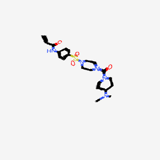 C=CC(=O)Nc1ccc(S(=O)(=O)N2CCN(C(=O)N3CCC(N(C)C)CC3)CC2)cc1